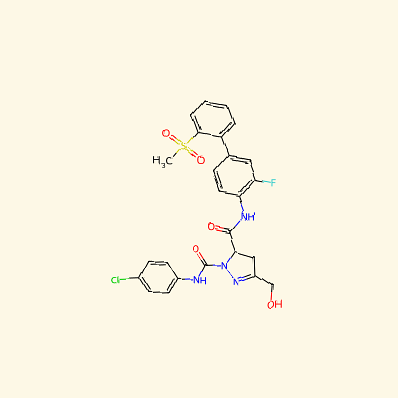 CS(=O)(=O)c1ccccc1-c1ccc(NC(=O)C2CC(CO)=NN2C(=O)Nc2ccc(Cl)cc2)c(F)c1